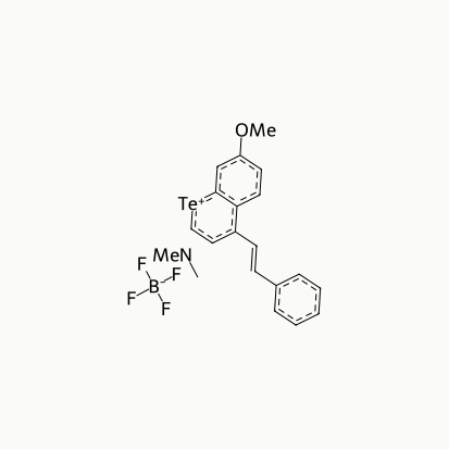 CNC.COc1ccc2c(C=Cc3ccccc3)cc[te+]c2c1.F[B-](F)(F)F